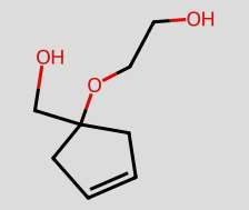 OCCOC1(CO)CC=CC1